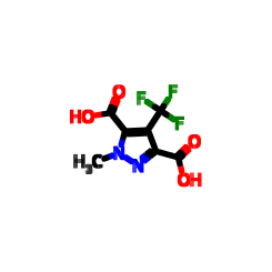 Cn1nc(C(=O)O)c(C(F)(F)F)c1C(=O)O